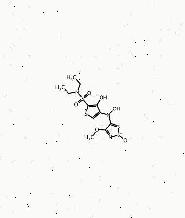 CCN(CC)S(=O)(=O)c1scc(N(O)c2n[s+]([O-])nc2OC)c1O